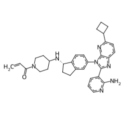 C=CC(=O)N1CCC(N[C@H]2CCc3cc(-n4c(-c5cccnc5N)nc5ccc(C6CCC6)nc54)ccc32)CC1